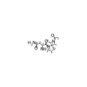 CC(=O)N1CC2(C1)SCCN2C(=O)[C@@H](N)CC(N)=O